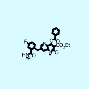 CCOC(=O)c1c(OC(=O)c2ccccc2)c2ncc(Cc3ccc(F)cc3C(=O)NC(C)C)cc2n(C)c1=O